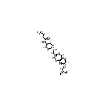 O=C(CCC(F)(F)F)N[C@H]1CC[C@H](CCN2CCc3ccc(OCC(F)F)nc3CC2)CC1